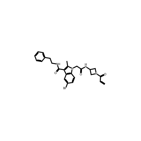 C=CC(=O)N1CC(NC(=O)Cn2c(C)c(C(=O)NCCc3ccccc3)c3cc(Br)ccc32)C1